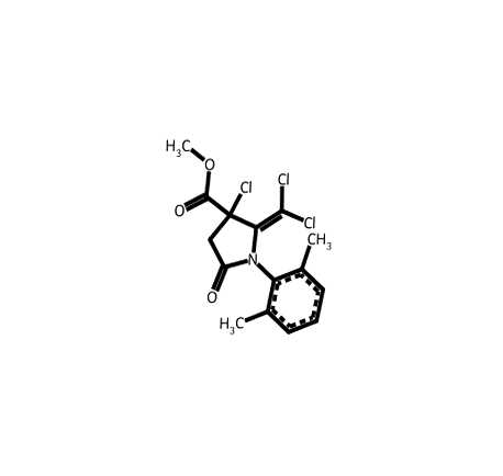 COC(=O)C1(Cl)CC(=O)N(c2c(C)cccc2C)C1=C(Cl)Cl